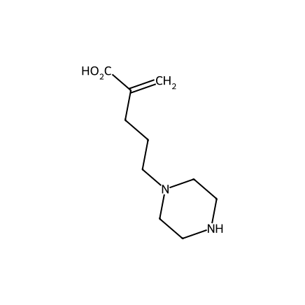 C=C(CCCN1CCNCC1)C(=O)O